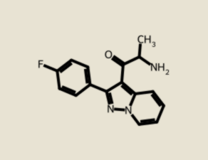 CC(N)C(=O)c1c(-c2ccc(F)cc2)nn2ccccc12